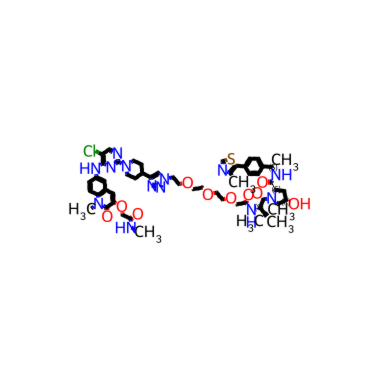 CNC(=O)COc1cc2cc(Nc3nc(N4CCC(c5cn(CCOCCOCCOCC(=O)N[C@H](C(=O)N6C[C@H](O)C[C@H]6C(=O)N[C@@H](C)c6ccc(-c7scnc7C)cc6)C(C)(C)C)nn5)CC4)ncc3Cl)ccc2n(C)c1=O